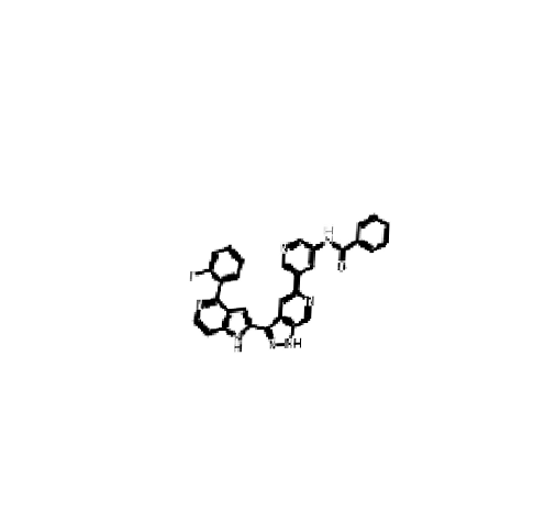 O=C(Nc1cncc(-c2cc3c(-c4cc5c(-c6ccccc6F)nccc5[nH]4)n[nH]c3cn2)c1)c1ccccc1